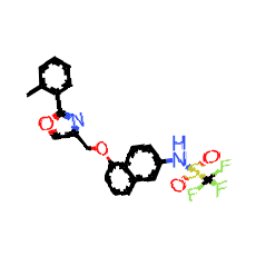 Cc1ccccc1-c1nc(COc2cccc3cc(NS(=O)(=O)C(F)(F)F)ccc23)co1